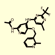 CC(=O)Nc1cc(Nc2cc(C)nc(C(C)(F)F)n2)c(OCc2cccnc2C)cn1